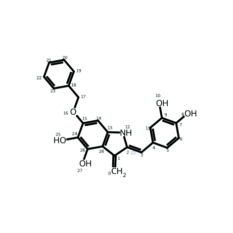 C=c1/c(=C/c2ccc(O)c(O)c2)[nH]c2cc(OCc3ccccc3)c(O)c(O)c12